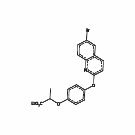 CCOC(=O)C(C)Oc1ccc(Oc2ccc3cc(Br)ccc3n2)cc1